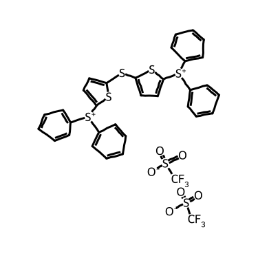 O=S(=O)([O-])C(F)(F)F.O=S(=O)([O-])C(F)(F)F.c1ccc([S+](c2ccccc2)c2ccc(Sc3ccc([S+](c4ccccc4)c4ccccc4)s3)s2)cc1